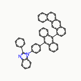 c1ccc(-c2nc3ccccc3n2-c2ccc(-c3c4ccccc4c(-c4cccc5cc6ccc7ccccc7c6cc45)c4ccccc34)cc2)cc1